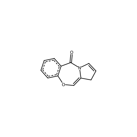 O=C1c2ccccc2OC=C2CC=CN12